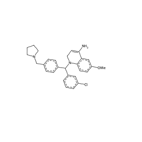 COc1ccc2c(c1)C(N)=CCN2C(c1ccc(CN2CCCC2)cc1)c1cccc(Cl)c1